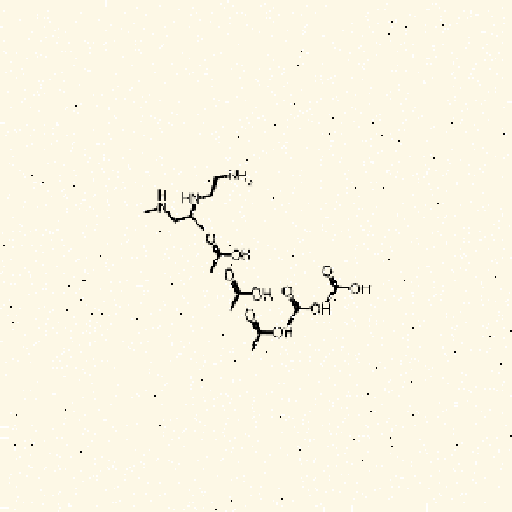 CC(=O)O.CC(=O)O.CC(=O)O.CC(=O)O.CC(=O)O.CNCC(C)NCCN